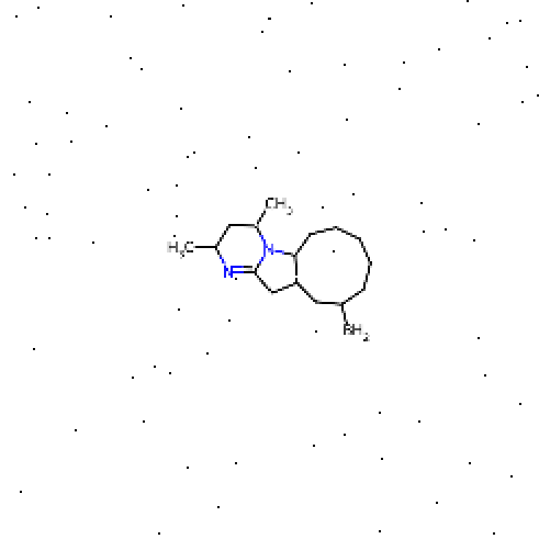 BC1CCCCCC2C(CC3=NC(C)CC(C)N32)C1